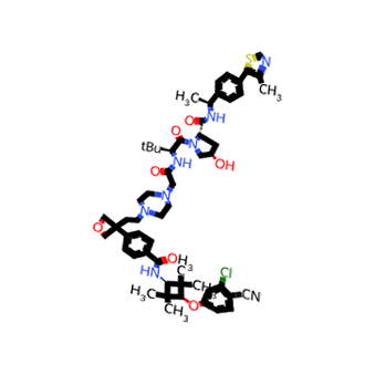 Cc1ncsc1-c1ccc([C@H](C)NC(=O)[C@@H]2C[C@@H](O)CN2C(=O)[C@@H](NC(=O)CN2CCN(CCC3(c4ccc(C(=O)N[C@H]5C(C)(C)[C@H](Oc6ccc(C#N)c(Cl)c6)C5(C)C)cc4)COC3)CC2)C(C)(C)C)cc1